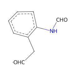 O=[C]Cc1ccccc1NC=O